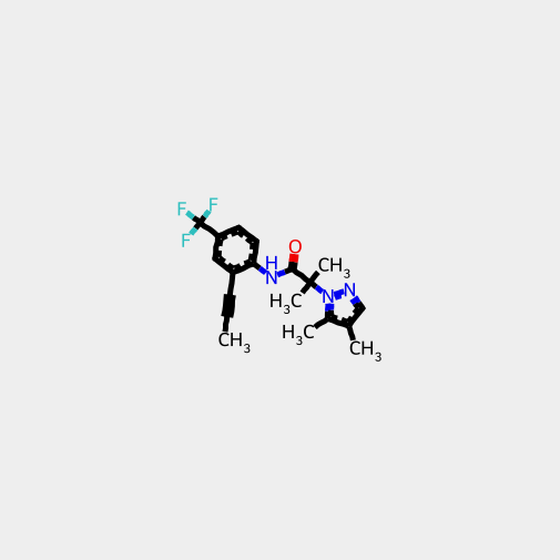 CC#Cc1cc(C(F)(F)F)ccc1NC(=O)C(C)(C)n1ncc(C)c1C